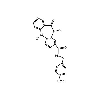 CCN1C(=O)c2ccccc2[S@@+]([O-])c2ccc(C(=O)NCc3ccc(OC)cc3)cc21